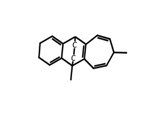 CC1C=CC2=C(C=C1)C1(C)CCC2C2=CCCC=C21